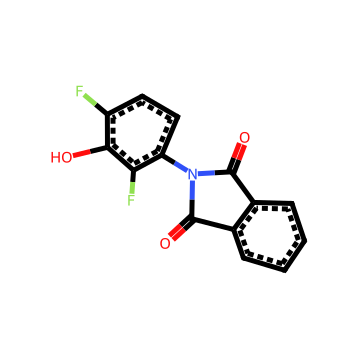 O=C1c2ccccc2C(=O)N1c1ccc(F)c(O)c1F